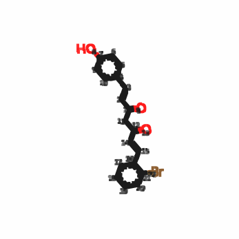 O=C(C=Cc1ccc(O)cc1)CC(=O)C=Cc1ccccc1Br